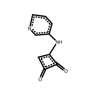 O=c1cc(Nc2cccnc2)c1=O